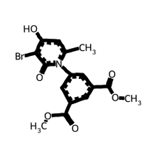 COC(=O)c1cc(C(=O)OC)cc(-n2c(C)cc(O)c(Br)c2=O)c1